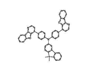 CC1(C)c2ccccc2-c2cc(N(c3ccc(-c4ccnc5c4oc4ccccc45)cc3)c3ccc(-c4ccnc5c4oc4ccccc45)cc3)ccc21